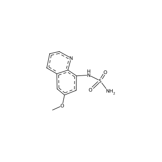 COc1cc(NS(N)(=O)=O)c2ncccc2c1